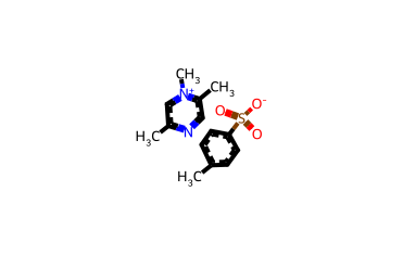 Cc1c[n+](C)c(C)cn1.Cc1ccc(S(=O)(=O)[O-])cc1